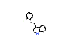 Fc1ccccc1[C]Cc1ccnc2ccccc12